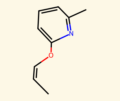 C/C=C\Oc1cccc(C)n1